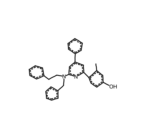 Cc1cc(O)ccc1-c1cc(-c2ccccc2)cc(N(CCc2ccccc2)Cc2ccccc2)n1